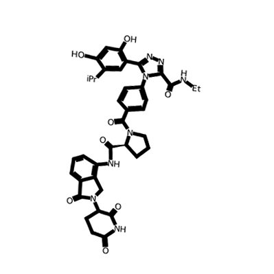 CCNC(=O)c1nnc(-c2cc(C(C)C)c(O)cc2O)n1-c1ccc(C(=O)N2CCC[C@H]2C(=O)Nc2cccc3c2CN(C2CCC(=O)NC2=O)C3=O)cc1